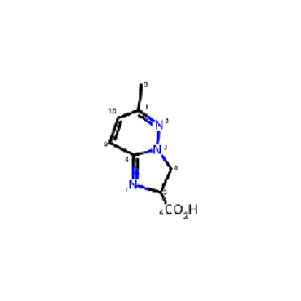 CC1=NN2CC(C(=O)O)N=C2C=C1